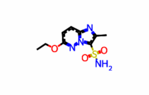 CCOc1ccc2nc(C)c(S(N)(=O)=O)n2n1